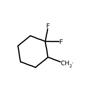 [CH2]C1CCCCC1(F)F